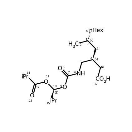 CCCCCC[C@@H](C)C[C@H](CNC(=O)O[C@H](OC(=O)C(C)C)C(C)C)CC(=O)O